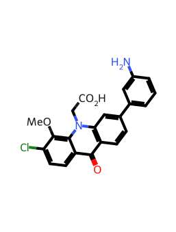 COc1c(Cl)ccc2c(=O)c3ccc(-c4cccc(N)c4)cc3n(CC(=O)O)c12